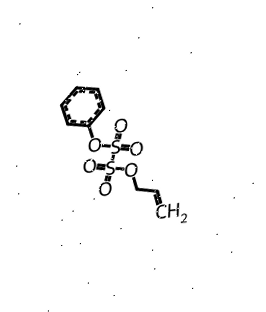 C=CCOS(=O)(=O)S(=O)(=O)Oc1ccccc1